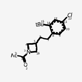 CC(=O)C(=O)N1CC(CCc2ccc(Cl)cc2C(C)(C)C)C1